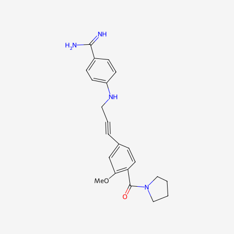 COc1cc(C#CCNc2ccc(C(=N)N)cc2)ccc1C(=O)N1CCCC1